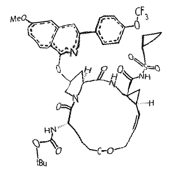 COc1ccc2c(OC3C[C@H]4C(=O)N[C@]5(C(=O)NS(=O)(=O)C6CC6)C[C@H]5/C=C\COCCC[C@H](NC(=O)OC(C)(C)C)C(=O)N4C3)nc(-c3ccc(OC(F)(F)F)cc3)cc2c1